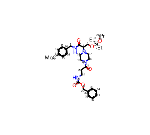 CC[Si](CC)(OCC(C(=O)NCc1ccc(OC)cc1)N1CCN(C(=O)CCNC(=O)OCc2ccccc2)CC1)OC(C)C